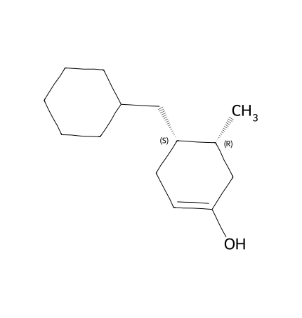 C[C@@H]1CC(O)=CC[C@@H]1CC1CCCCC1